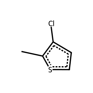 Cc1sccc1Cl